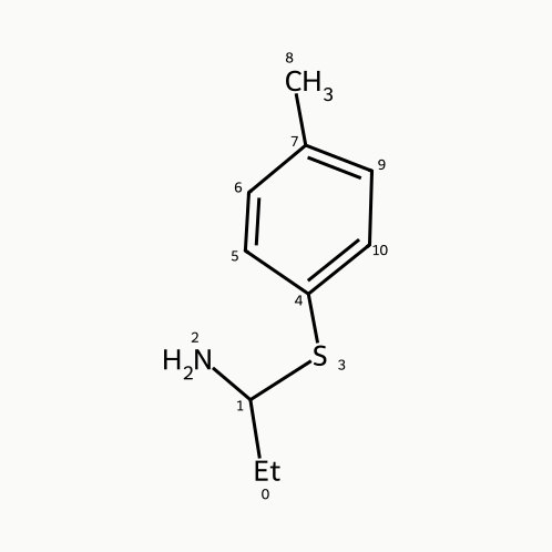 CCC(N)Sc1ccc(C)cc1